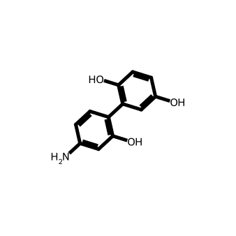 Nc1ccc(-c2cc(O)ccc2O)c(O)c1